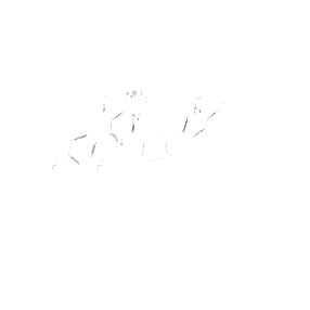 Nc1nc([C@H]2CCO[C@@H](c3ccc(=O)[nH]c3)C2)nc(-c2ccc(F)cc2F)c1C=O